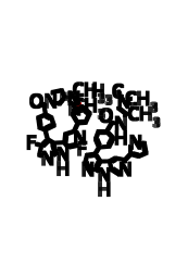 CC(CN(C)C)NC(=O)c1ccc(-c2c(F)cnc3[nH]c4cnc(-c5cccnc5)cc4c23)cc1.CN(C)[C@H]1CCN(C(=O)c2ccc(-c3c(F)cnc4[nH]c5cnc(-c6cccnc6)cc5c34)cc2)C1